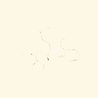 COC(=O)C1=C[C@H](n2cc3ccccc3c2C#N)[C@@H](C)[C@H]([C@H](OC(C)=O)[C@@H](COC(C)=O)OC(C)=O)O1